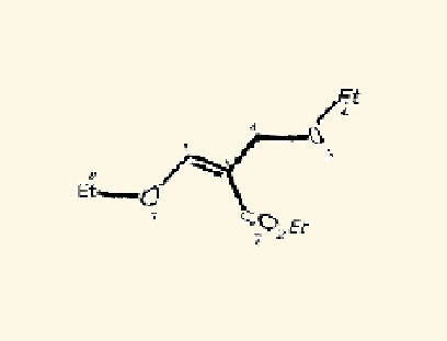 CCO/C=C(/COCC)C(=O)OCC